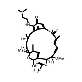 CO[C@H]1/C=C\C=C(/C)C(=O)NC2=CC(=O)C(NCCN(C)C)=C(C[C@@H](C)C[C@H](OC)[C@H]3OC(O)C(=CC3C)[C@@H]1OC(N)=O)C2=O